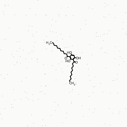 CCCCCCCCCCC(=O)c1c(O)cc(O)c(C(=O)CCCCCCCCCC)c1O